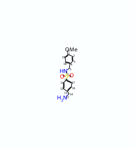 COc1ccc(CNS(=O)(=O)c2ccc(CN)cc2)cc1